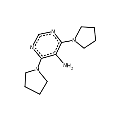 Nc1c(N2CCCC2)ncnc1N1CCCC1